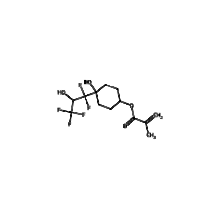 C=C(C)C(=O)OC1CCC(O)(C(F)(F)C(O)C(F)(F)F)CC1